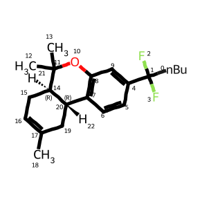 CCCCC(F)(F)c1c[c]c2c(c1)OC(C)(C)[C@@H]1CC=C(C)C[C@@H]21